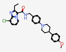 CCc1nc2c(Cl)cccn2c1C(=O)NCc1ccc(N2CCC(c3ccc(OC)cc3)CC2)cc1